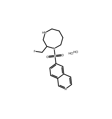 Cl.Cl.O=S(=O)(c1ccc2cnccc2c1)N1CCCCNCC1CF